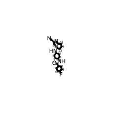 N#Cc1cn2c(NC3CCC(NC(=O)c4ccc(F)cc4)CC3)cccc2n1